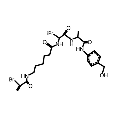 C=C(Br)C(=O)NCCCCCC(=O)NC(C(=O)NC(C)C(=O)Nc1ccc(CO)cc1)C(C)C